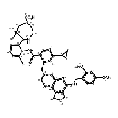 COc1ccc(CNc2nc3cc(Cc4nc(C5CC5)ncc4C(=O)NN4C(C)=CC=CC4C4NCCN(C(=O)O)CC4(F)F)ccc3c3c2COC3)c(OC)c1